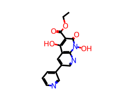 CCOC(=O)c1c(O)c2cc(-c3cccnc3)cnc2n(O)c1=O